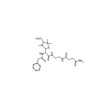 CN1C(C(NC(=O)Cc2ccccc2)C(=O)NCCNC(=O)CCC(N)=O)SC(C)(C)C1C(=O)O